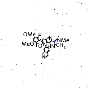 CN/C=C(\C(C)=N)c1cc2c(cn1)CN(c1c(F)c(OC)cc(OC)c1F)C(=O)N2c1ccc2ccncc2c1